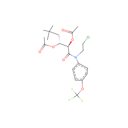 CC(=O)O[C@H](CC(C)(C)C)[C@@H](OC(C)=O)C(=O)N(CCCl)c1ccc(OC(F)(F)F)cc1